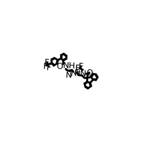 O=C(NCc1cn(CCCCC2(C(=O)NCC(F)(F)F)c3ccccc3-c3ccccc32)cn1)c1ccccc1-c1ccc(C(F)(F)F)cc1